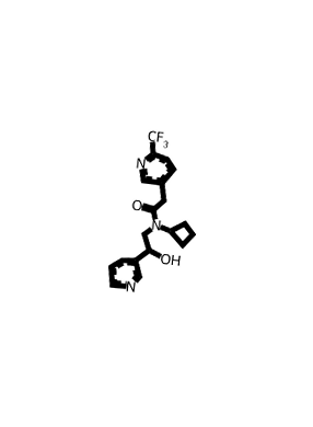 O=C(Cc1ccc(C(F)(F)F)nc1)N(CC(O)c1cccnc1)C1CCC1